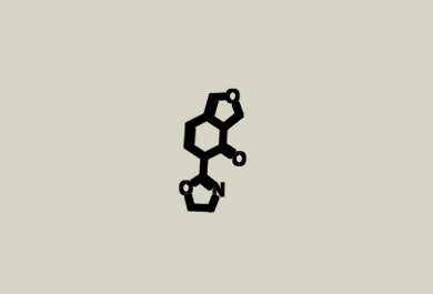 O=C1C(C2=NCCO2)C=CC2=COCC12